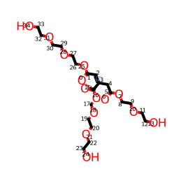 O=C(/C=C(/CC(=O)OCCOCCO)C(=O)OCOCCOCCO)OCCOCCOCCO